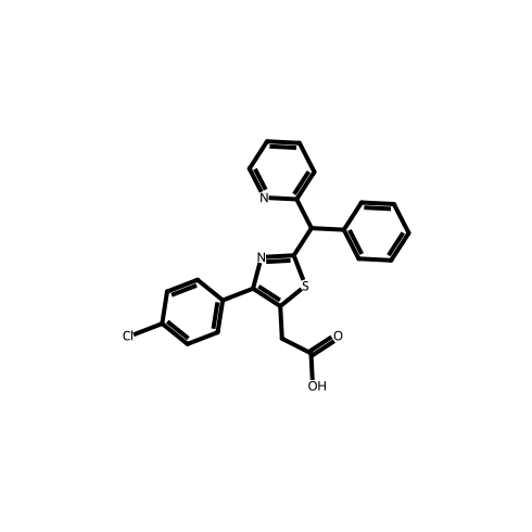 O=C(O)Cc1sc(C(c2ccccc2)c2ccccn2)nc1-c1ccc(Cl)cc1